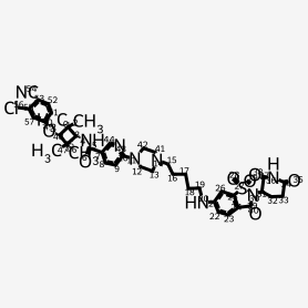 CC1(C)[C@H](NC(=O)c2ccc(N3CCN(CCCCCNc4ccc5c(c4)S(=O)(=O)N(C4CCC(=O)NC4=O)C5=O)CC3)nc2)C(C)(C)[C@H]1Oc1ccc(C#N)c(Cl)c1